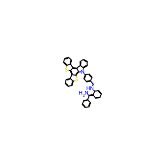 N/C(=C1/C=CC=CC1NCc1ccc(-n2c3ccccc3c3c4c5ccccc5sc4c4c5ccccc5sc4c32)cc1)c1ccccc1